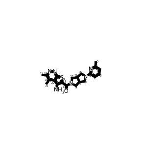 Cc1cccc(N2CC3CN(C(=O)c4sc5nnc(C)c(C)c5c4N)CC3C2)n1